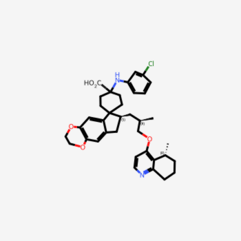 C[C@@H](COc1ccnc2c1[C@H](C)CCC2)C[C@H]1Cc2cc3c(cc2C12CCC(Nc1cccc(Cl)c1)(C(=O)O)CC2)OCCO3